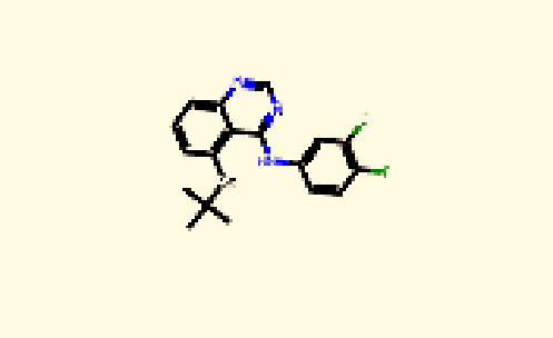 CC(C)(C)[Se]c1cccc2ncnc(Nc3ccc(F)c(Cl)c3)c12